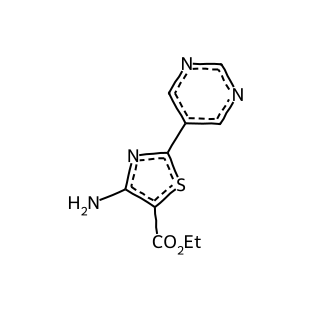 CCOC(=O)c1sc(-c2cncnc2)nc1N